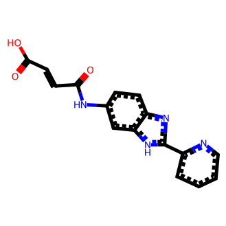 O=C(O)C=CC(=O)Nc1ccc2nc(-c3ccccn3)[nH]c2c1